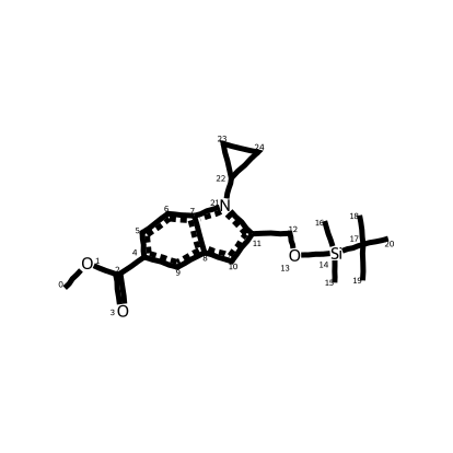 COC(=O)c1ccc2c(c1)cc(CO[Si](C)(C)C(C)(C)C)n2C1CC1